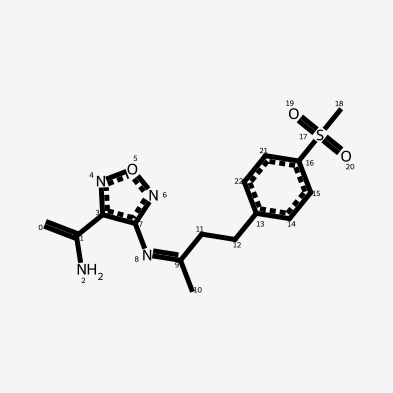 C=C(N)c1nonc1/N=C(/C)CCc1ccc(S(C)(=O)=O)cc1